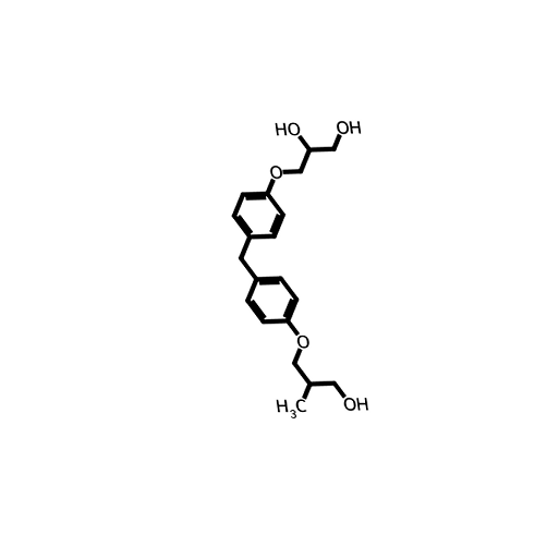 CC(CO)COc1ccc(Cc2ccc(OCC(O)CO)cc2)cc1